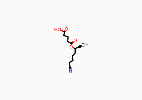 C#CC(CCCCC#N)OC(=O)CCCC(=O)O